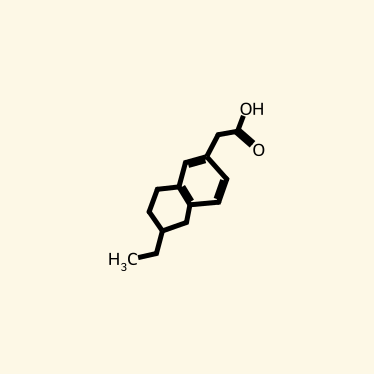 CCC1CCc2cc(CC(=O)O)ccc2C1